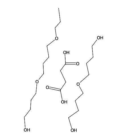 CCCOCCCCOCCCCO.O=C(O)CCC(=O)O.OCCCCOCCCCO